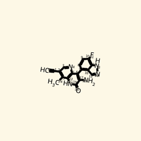 C#Cc1cnc2c(-c3ccc(F)c4[nH]ncc34)c(N)c(=O)[nH]c2c1C